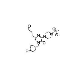 CS(=O)(=O)N1CCN(c2nc(CCC=O)cn(Cc3ccc(F)cc3)c2=O)CC1